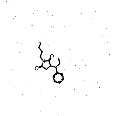 CCCCN1C(=O)CC(C(CC)c2ccccc2)C1=O